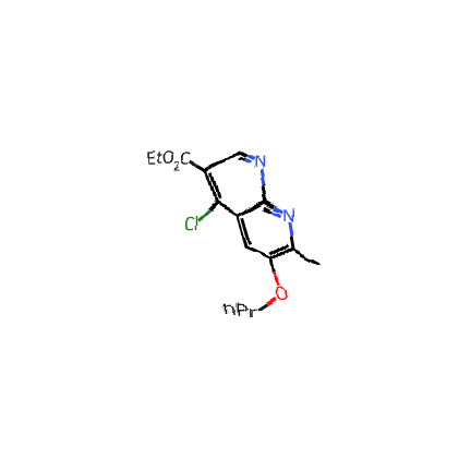 CCCOc1cc2c(Cl)c(C(=O)OCC)cnc2nc1C